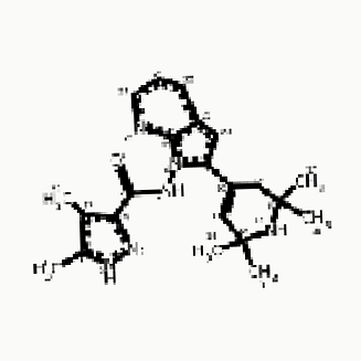 Cc1[nH]nc(C(=O)Nn2c(C3=CC(C)(C)NC(C)(C)C3)cc3cccnc32)c1C